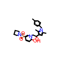 Cc1ccc(Cn2c(C)cc(C(=O)CN3C=C(S(=O)(=O)N4CCCC4)C=CC3O)c2C)cc1